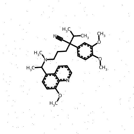 COc1ccc(C(C#N)(CCCN(C)C(C)c2ccc(OC)c3ncccc23)C(C)C)cc1OC